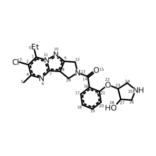 CCc1c(Cl)c(C)nc2c3c(nn12)CN(C(=O)c1ccccc1OC1CNCC1O)C3